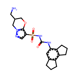 NCC1COc2c(S(=O)(=O)NC(=O)Nc3cc4c(c5c3CCC5)CCC4)cnn2C1